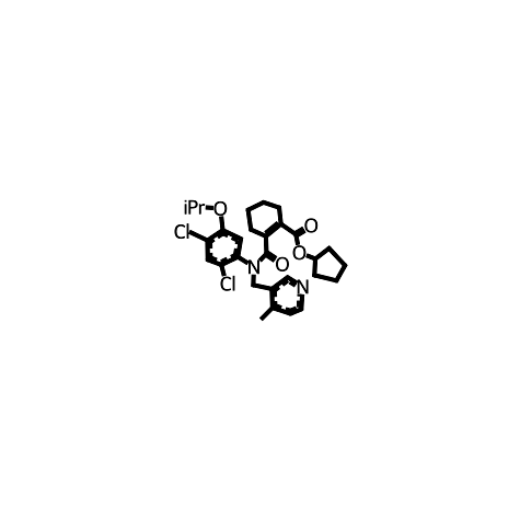 Cc1ccncc1CN(C(=O)C1=C(C(=O)OC2CCCC2)CCCC1)c1cc(OC(C)C)c(Cl)cc1Cl